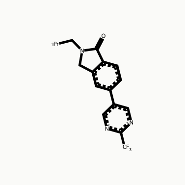 C[C](C)CN1Cc2cc(-c3cnc(C(F)(F)F)nc3)ccc2C1=O